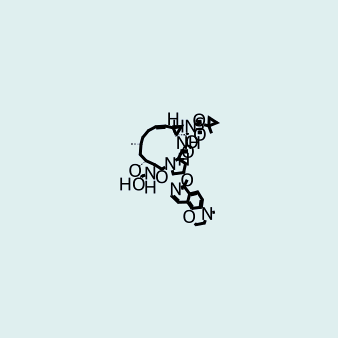 C[C@@H]1CCC=C[C@@H]2C[C@@]2(C(=O)NS(=O)(=O)C2(C)CC2)NC(=O)[C@@H]2C[C@@H](Oc3nccc4c5c(ccc34)N(C)CCO5)CN2C(=O)[C@@H](NC(=O)O)[C@H](C)C1